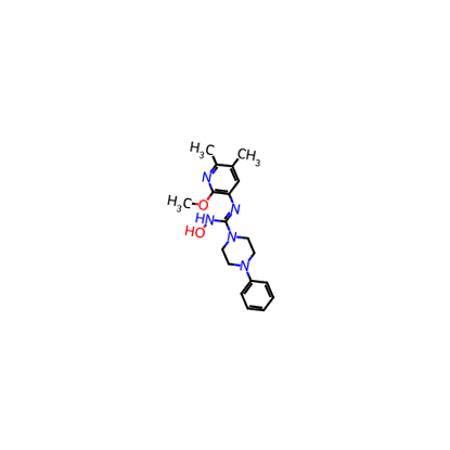 COc1nc(C)c(C)cc1N=C(NO)N1CCN(c2ccccc2)CC1